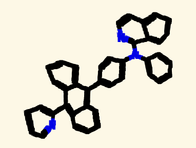 c1ccc(N(c2ccc(-c3c4ccccc4c(-c4ccccn4)c4ccccc34)cc2)c2nccc3ccccc23)cc1